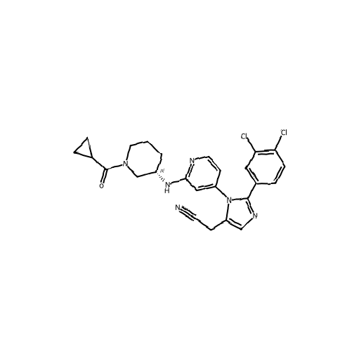 N#CCc1cnc(-c2ccc(Cl)c(Cl)c2)n1-c1ccnc(N[C@H]2CCCN(C(=O)C3CC3)C2)c1